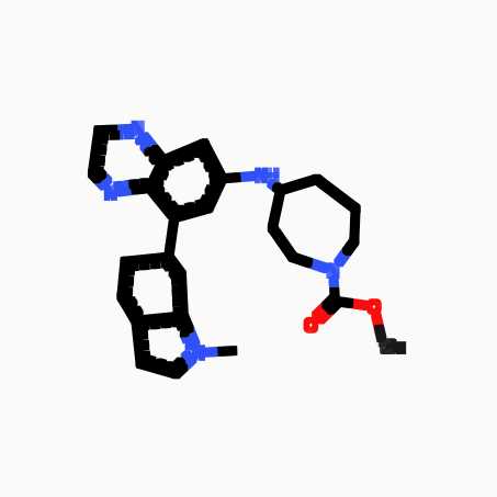 Cn1ccc2ccc(-c3cc(NC4CCCN(C(=O)OC(C)(C)C)CC4)cc4nccnc34)cc21